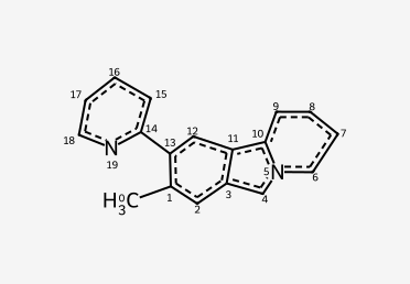 Cc1cc2cn3ccccc3c2cc1-c1ccccn1